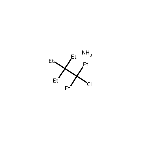 CCC(Cl)(CC)C(CC)(CC)CC.N